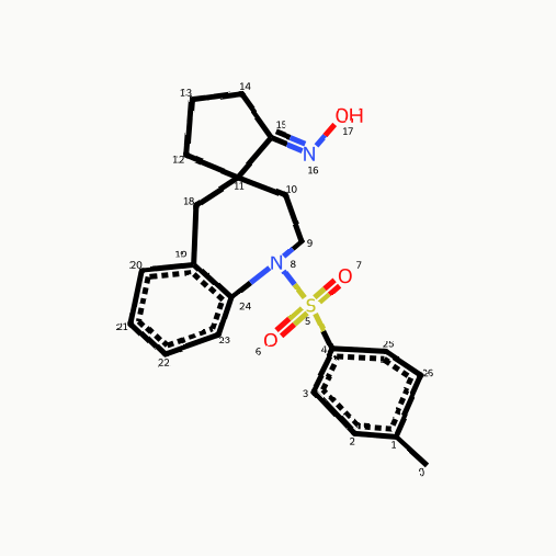 Cc1ccc(S(=O)(=O)N2CCC3(CCCC3=NO)Cc3ccccc32)cc1